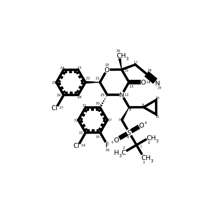 CC(C)(C)S(=O)(=O)C[C@H](C1CC1)N1C(=O)[C@@](C)(CC#N)O[C@H](c2cccc(Cl)c2)[C@H]1c1ccc(Cl)c(F)c1